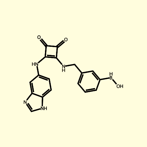 O=c1c(NCc2cccc(BO)c2)c(Nc2ccc3[nH]cnc3c2)c1=O